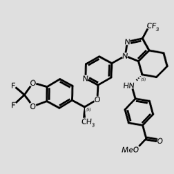 COC(=O)c1ccc(N[C@H]2CCCc3c(C(F)(F)F)nn(-c4ccnc(O[C@@H](C)c5ccc6c(c5)OC(F)(F)O6)c4)c32)cc1